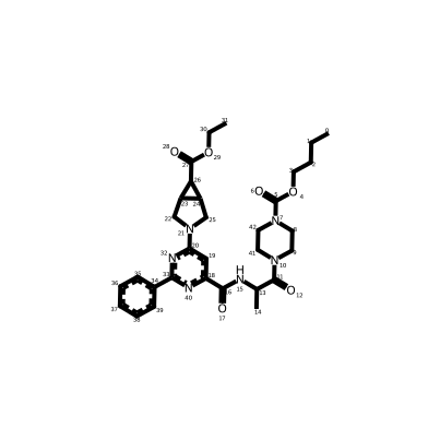 CCCCOC(=O)N1CCN(C(=O)C(C)NC(=O)c2cc(N3CC4C(C3)C4C(=O)OCC)nc(-c3ccccc3)n2)CC1